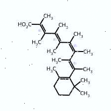 CC1=C(/C(C)=C(C)/C(C)=C(C)\C(C)=C(C)\C(C)=C(/C)C(=O)O)C(C)(C)CCC1